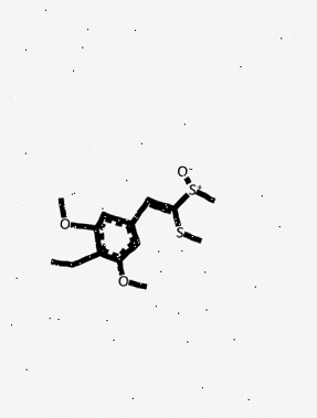 CCc1c(OC)cc(/C=C(\SC)[S+](C)[O-])cc1OC